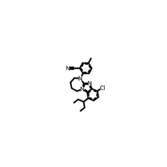 CCC(CC)c1ccc(Cl)c2nc3n(c12)CCCCN3c1ccc(C)cc1C#N